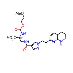 COCCOC(=O)N[C@@H](CNC(=O)c1cnn(CCc2ccc3c(n2)NCCC3)c1)C(=O)O